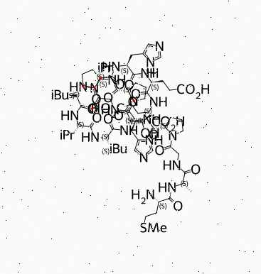 CC[C@H](C)[C@H](NC(=O)[C@@H](NC(=O)[C@@H]1CCCN1C(=O)[C@H](Cc1cnc[nH]1)NC(=O)[C@@H]1CCCN1C(=O)CNC(=O)[C@H](C)NC(=O)[C@@H](N)CCSC)C(C)C)C(=O)N[C@H](C(=O)N[C@H](C(=O)N[C@H](C(=O)NCC(=O)N1CCC[C@H]1C(=O)N[C@@H](Cc1cnc[nH]1)C(=O)N[C@@H](CCC(=O)O)C(=O)N[C@@H](CCC(=O)O)C(=O)O)[C@@H](C)O)[C@@H](C)CC)C(C)C